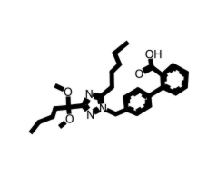 CCCCCc1nc(C(CCCC)(OC)OC)nn1Cc1ccc(-c2ccccc2C(=O)O)cc1